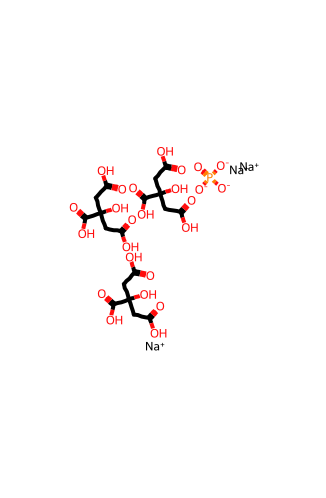 O=C(O)CC(O)(CC(=O)O)C(=O)O.O=C(O)CC(O)(CC(=O)O)C(=O)O.O=C(O)CC(O)(CC(=O)O)C(=O)O.O=P([O-])([O-])[O-].[Na+].[Na+].[Na+]